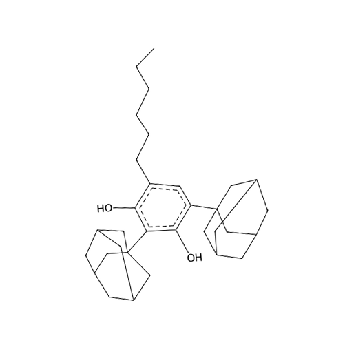 CCCCCCc1cc(C23CC4CC(CC(C4)C2)C3)c(O)c(C23CC4CC(CC(C4)C2)C3)c1O